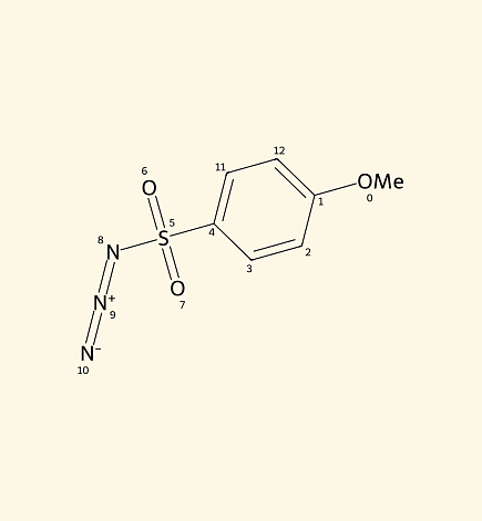 COc1ccc(S(=O)(=O)N=[N+]=[N-])cc1